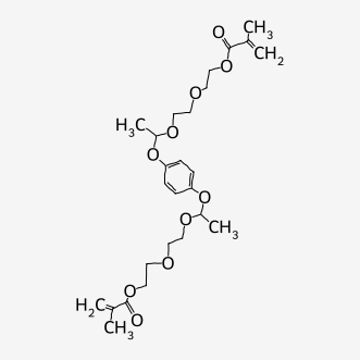 C=C(C)C(=O)OCCOCCOC(C)Oc1ccc(OC(C)OCCOCCOC(=O)C(=C)C)cc1